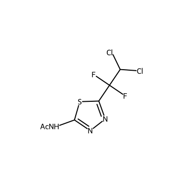 CC(=O)Nc1nnc(C(F)(F)C(Cl)Cl)s1